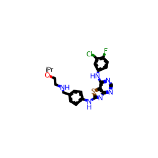 CC(C)OCCNCc1ccc(Nc2nc3ncnc(Nc4ccc(F)c(Cl)c4)c3s2)cc1